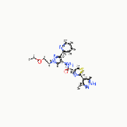 CCOCCn1cc(NC(=O)c2csc(-c3c[nH]nc3C)n2)c(-c2ccccn2)n1